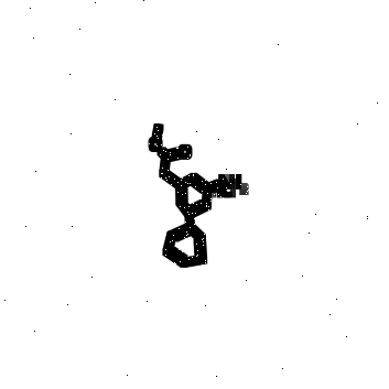 COC(=O)Cc1cc(N)cc(-c2ccccc2)c1.Cl